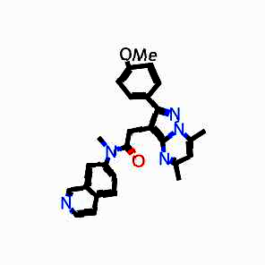 COc1ccc(-c2nn3c(C)cc(C)nc3c2CC(=O)N(C)c2ccc3ccncc3c2)cc1